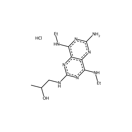 CCNc1nc(NCC(C)O)nc2c(NCC)nc(N)nc12.Cl